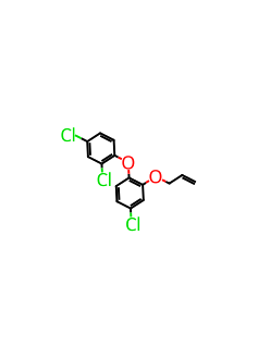 C=CCOc1cc(Cl)ccc1Oc1ccc(Cl)cc1Cl